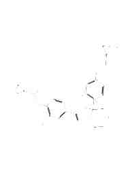 Cc1cc(C(=O)OC2(c3ccc(OCC4CO4)cc3)CCCCC2)ccc1OCC1CO1